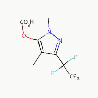 Cc1c(C(F)(F)C(F)(F)F)nn(C)c1OC(=O)O